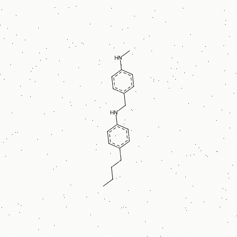 CCCCc1ccc(NCc2ccc(NC)cc2)cc1